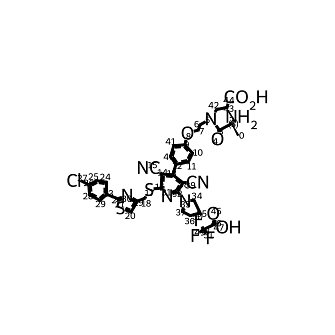 C[C@H](N)C(=O)N(CCOc1ccc(-c2c(C#N)c(SCc3csc(-c4ccc(Cl)cc4)n3)nc(N3CCCC3)c2C#N)cc1)CCC(=O)O.O=C(O)C(F)(F)F